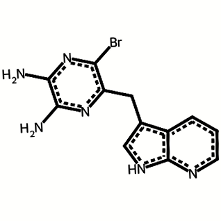 Nc1nc(Br)c(Cc2c[nH]c3ncccc23)nc1N